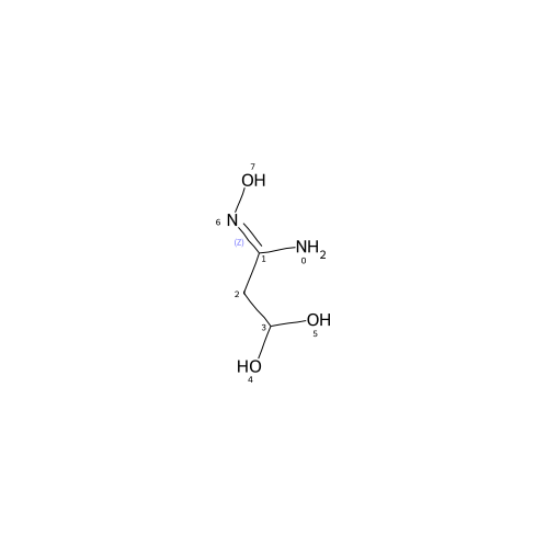 N/C(CC(O)O)=N\O